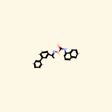 C/C(=N\OC(=O)Nc1cccc2ccccc12)c1cccc(-c2ccccc2)c1